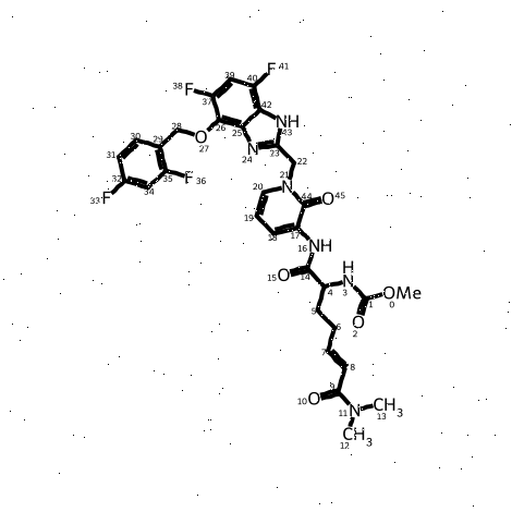 COC(=O)NC(CC/C=C/C(=O)N(C)C)C(=O)Nc1cccn(Cc2nc3c(OCc4ccc(F)cc4F)c(F)cc(F)c3[nH]2)c1=O